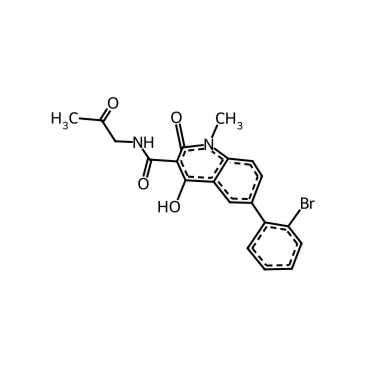 CC(=O)CNC(=O)c1c(O)c2cc(-c3ccccc3Br)ccc2n(C)c1=O